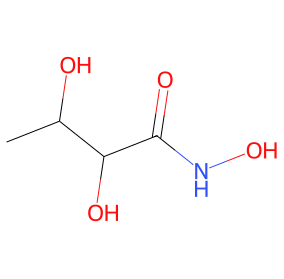 CC(O)C(O)C(=O)NO